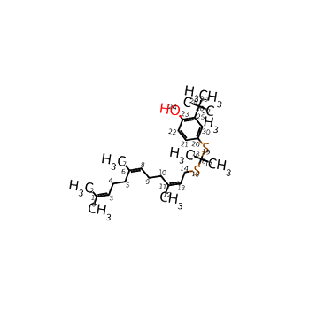 CC(C)=CCCC(C)=CCCC(C)=CCSC(C)(C)Sc1ccc(O)c(C(C)(C)C)c1